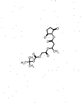 CC(CC(=O)ON1C(=O)CCC1=O)OC(=O)COC(=O)OC(C)(C)C